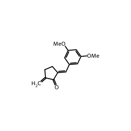 C=C1CC/C(=C\c2cc(OC)cc(OC)c2)C1=O